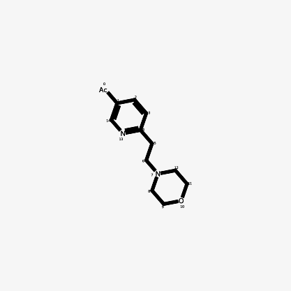 CC(=O)c1ccc(CCN2CCOCC2)nc1